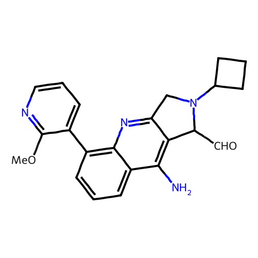 COc1ncccc1-c1cccc2c(N)c3c(nc12)CN(C1CCC1)C3C=O